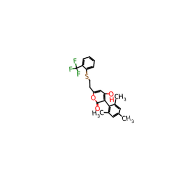 Cc1cc(C)c(-c2c(O)cc(CCSc3ccccc3C(F)(F)F)oc2=O)c(C)c1